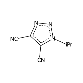 CC(C)n1nnc(C#N)c1C#N